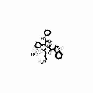 Cl.NCCC[C@H](C(=O)O)N(C(=O)C(=O)c1c[nH]c2ccccc12)C(C(=O)NC1CCCCC1)C1CCCCC1